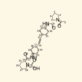 CC(=O)N1CCC[C@H]1C(=O)Nc1ccc(C#Cc2ccc(NC(=O)[C@@H]3CCCCN3C(=O)O)cc2)cc1